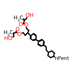 C=C(CO)C(=O)OCCC(CCOC(=O)C(=C)CO)c1ccc(-c2ccc(CCC3CCC(CCCCC)CC3)cc2)cc1